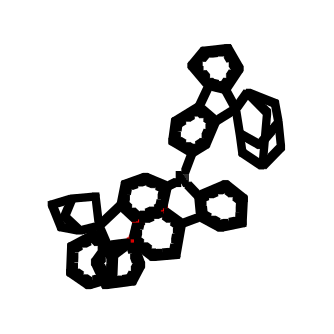 c1ccc(-c2ccc(-c3ccccc3N(c3ccc4c(c3)-c3ccccc3C43CC4CCC3C4)c3ccc4c(c3)C3(c5ccccc5-4)C4CC5CC(C4)CC3C5)cc2)cc1